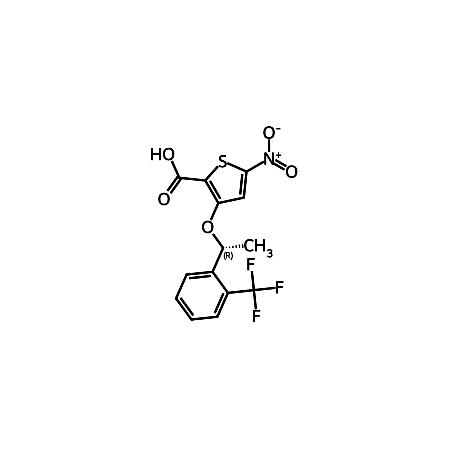 C[C@@H](Oc1cc([N+](=O)[O-])sc1C(=O)O)c1ccccc1C(F)(F)F